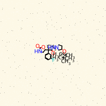 CC(C(=O)NN1CCC(O[Si](C)(C)C(C)(C)C)C1)(c1cccc(F)c1)C1CNC(=O)O1